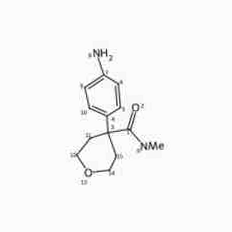 CNC(=O)C1(c2ccc(N)cc2)CCOCC1